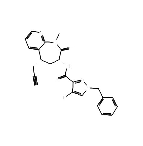 C#CC[C@H]1C[C@@H](NC(=O)c2nn(Cc3ccccc3)cc2F)C(=O)N(C)c2ncccc21